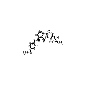 C=C1CC[C@H](N2C(=O)c3cccc(NCc4ccc(CN)cc4)c3C2=O)C(=O)N1